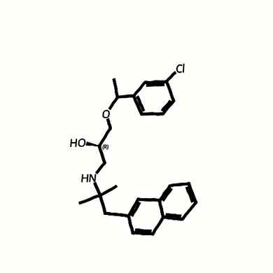 CC(OC[C@H](O)CNC(C)(C)Cc1ccc2ccccc2c1)c1cccc(Cl)c1